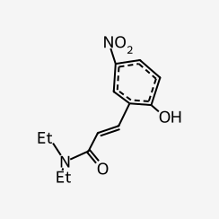 CCN(CC)C(=O)C=Cc1cc([N+](=O)[O-])ccc1O